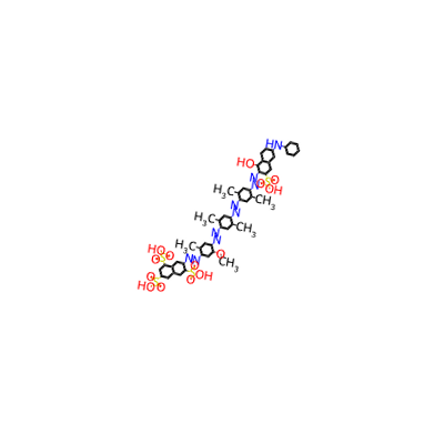 COc1cc(N=Nc2cc3c(S(=O)(=O)O)cc(S(=O)(=O)O)cc3cc2S(=O)(=O)O)c(C)cc1N=Nc1cc(C)c(N=Nc2cc(C)c(/N=N/c3c(S(=O)(=O)O)cc4cc(Nc5ccccc5)ccc4c3O)cc2C)cc1C